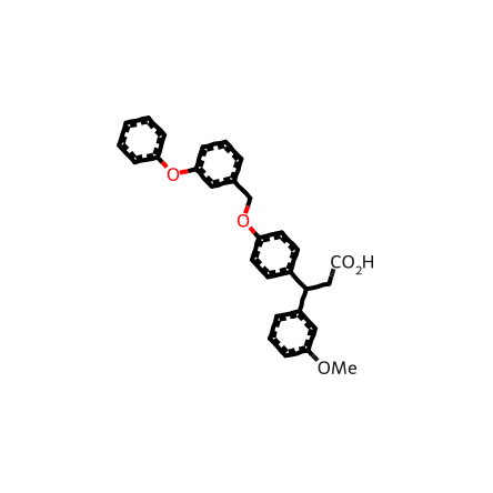 COc1cccc(C(CC(=O)O)c2ccc(OCc3cccc(Oc4ccccc4)c3)cc2)c1